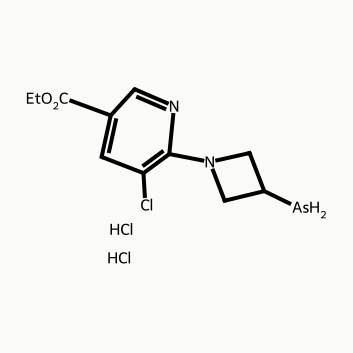 CCOC(=O)c1cnc(N2CC([AsH2])C2)c(Cl)c1.Cl.Cl